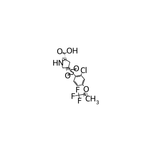 C[C@H](Oc1ccc(S(=O)(=O)[C@H]2CN[C@H](C(=O)O)C2)c(Cl)c1)C(F)(F)F